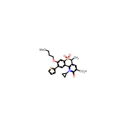 COCCCOc1cc2c(cc1-c1cccs1)-c1c(cc(C(=O)O)c(=O)n1C1CC1)C(C)S2(=O)=O